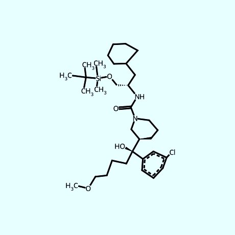 COCCCC[C@@](O)(c1cccc(Cl)c1)[C@@H]1CCCN(C(=O)N[C@H](CO[Si](C)(C)C(C)(C)C)CC2CCCCC2)C1